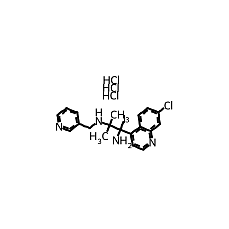 CC(C)(NCc1cccnc1)C(N)(I)c1ccnc2cc(Cl)ccc12.Cl.Cl.Cl